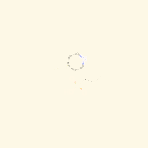 CCCS(=O)(=O)O.SS.c1ccncc1